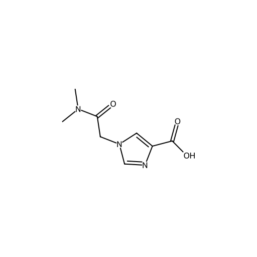 CN(C)C(=O)Cn1cnc(C(=O)O)c1